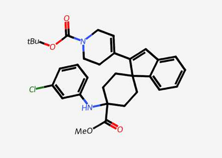 COC(=O)C1(Nc2cccc(Cl)c2)CCC2(CC1)C(C1=CCN(C(=O)OC(C)(C)C)CC1)=Cc1ccccc12